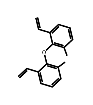 C=Cc1cccc(C)c1Oc1c(C)cccc1C=C